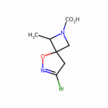 CC1N(C(=O)O)CC12CC(Br)=NO2